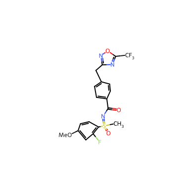 COc1ccc(S(C)(=O)=NC(=O)c2ccc(Cc3noc(C(F)(F)F)n3)cc2)c(F)c1